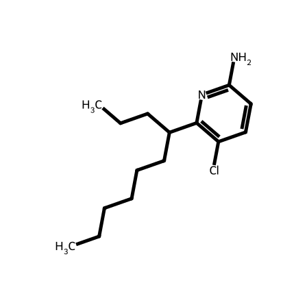 CCCCCCC(CCC)c1nc(N)ccc1Cl